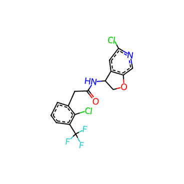 O=C(Cc1cccc(C(F)(F)F)c1Cl)NC1COc2cnc(Cl)cc21